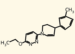 CCOc1ccc(N2C=CC(c3cccc(C)c3)CC2)nn1